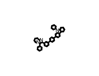 c1ccc(-c2c(-c3cccc(-c4ccc(-c5ccc6c7ccccc7n(-c7ccccc7)c6c5)cc4)c3)nc3ccccn23)cc1